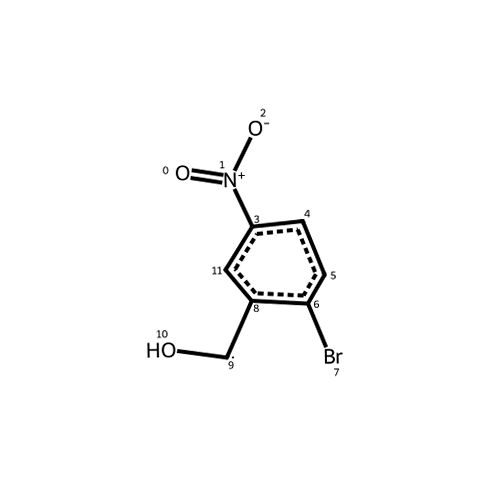 O=[N+]([O-])c1ccc(Br)c([CH]O)c1